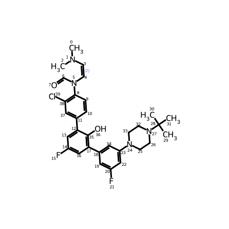 CN(C)/C=C\N(C=O)c1ccc(-c2cc(F)cc(-c3cc(F)cc(N4CCN(C(C)(C)C)CC4)c3)c2O)cc1Cl